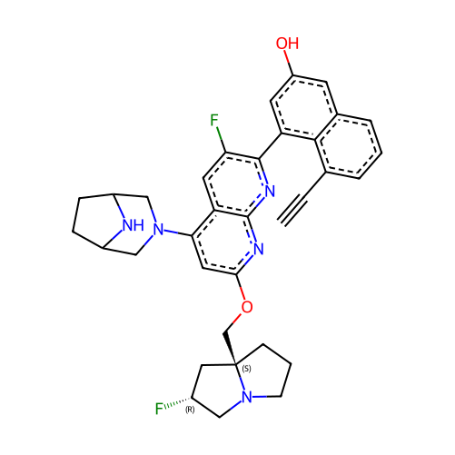 C#Cc1cccc2cc(O)cc(-c3nc4nc(OC[C@@]56CCCN5C[C@H](F)C6)cc(N5CC6CCC(C5)N6)c4cc3F)c12